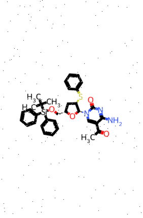 CC(=O)c1cn([C@@H]2O[C@H](CO[Si](c3ccccc3)(c3ccccc3)C(C)(C)C)C[C@H]2Sc2ccccc2)c(=O)nc1N